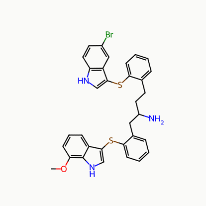 COc1cccc2c(Sc3ccccc3CC(N)CCc3ccccc3Sc3c[nH]c4ccc(Br)cc34)c[nH]c12